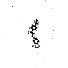 O=C(/C=C/c1ccc2c(c1)OCCO2)c1ccc(C(F)(F)F)cc1